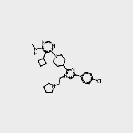 CNc1ncnc(N2CCC(c3nc(-c4ccc(Cl)cc4)cn3CCN3CCCC3)CC2)c1C1CCC1